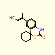 CC(=CC#N)c1ccc2c(c1)C1(CCCCC1)OC(=O)N2